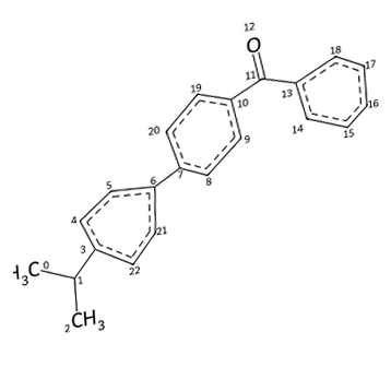 CC(C)c1ccc(-c2ccc(C(=O)c3ccccc3)cc2)cc1